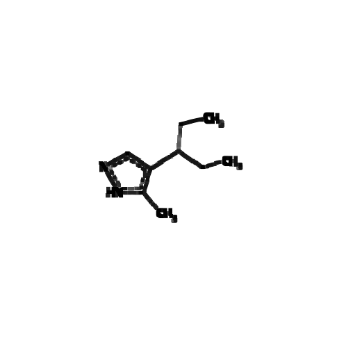 CCC(CC)c1cn[nH]c1C